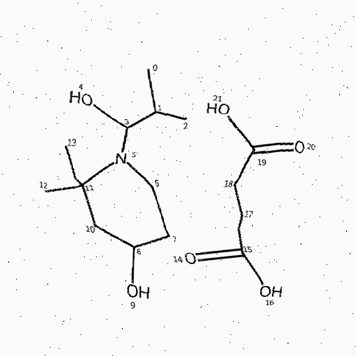 CC(C)C(O)N1CCC(O)CC1(C)C.O=C(O)CCC(=O)O